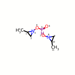 CC1CN1O[PH](=O)ON1CC1C